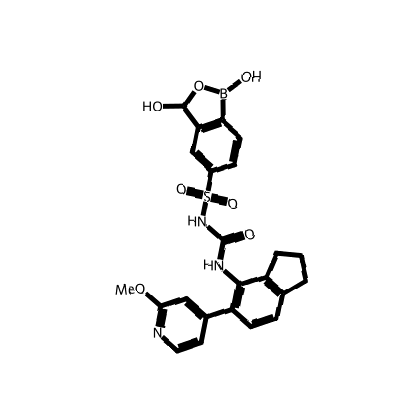 COc1cc(-c2ccc3c(c2NC(=O)NS(=O)(=O)c2ccc4c(c2)C(O)OB4O)CCC3)ccn1